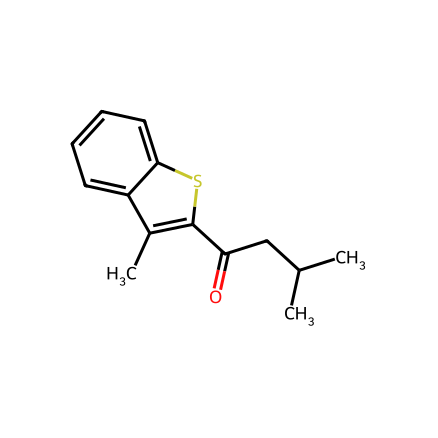 Cc1c(C(=O)CC(C)C)sc2ccccc12